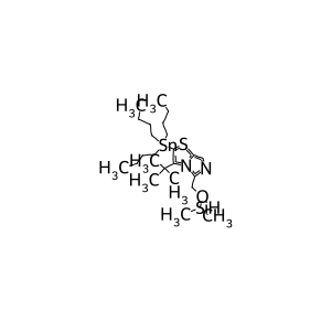 CCC[CH2][Sn]([CH2]CCC)([CH2]CCC)[c]1sc2cnc(CO[SiH](C)C)n2c1C(C)(C)C